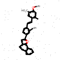 CCCOc1cc(C)c(C=Cc2ccc(-c3cc4ccc5ccccc5c4o3)cc2CCC)cc1C(=O)O